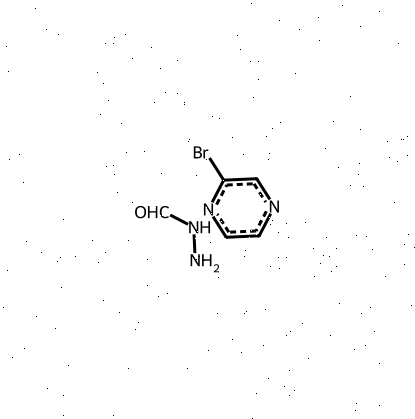 Brc1cnccn1.NNC=O